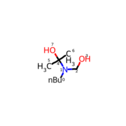 CCCCN(CO)C(C)(C)O